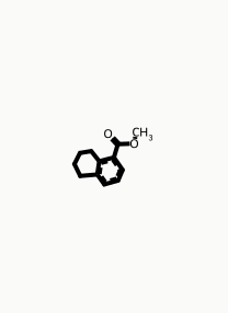 COC(=O)c1cccc2c1CCCC2